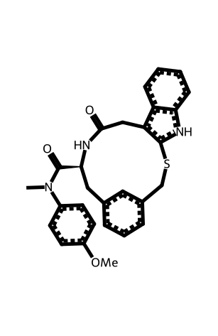 COc1ccc(N(C)C(=O)[C@@H]2Cc3cccc(c3)CSc3[nH]c4ccccc4c3CC(=O)N2)cc1